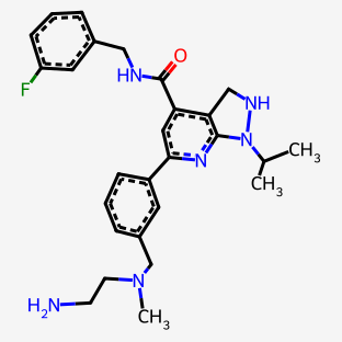 CC(C)N1NCc2c(C(=O)NCc3cccc(F)c3)cc(-c3cccc(CN(C)CCN)c3)nc21